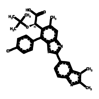 Cc1cc2nc(-c3ccc4nc(C)n(C)c4c3)sc2c(-c2ccc(Cl)cc2)c1[C@H](OC(C)(C)C)C(=O)O